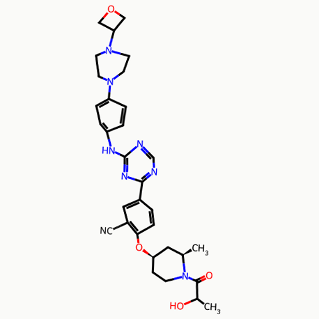 CC(O)C(=O)N1CC[C@@H](Oc2ccc(-c3ncnc(Nc4ccc(N5CCN(C6COC6)CC5)cc4)n3)cc2C#N)C[C@H]1C